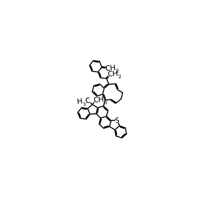 C=C(/C=c1/ccccc1=C)C1=c2\cccc\c2=C(c2cc3c(ccc4c5ccccc5sc34)c3c2C(C)(C)c2ccccc2-3)\C=C\CC\C=C\1